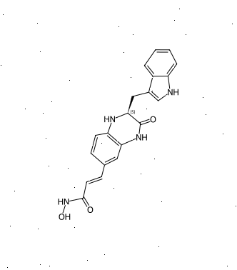 O=C(C=Cc1ccc2c(c1)NC(=O)[C@H](Cc1c[nH]c3ccccc13)N2)NO